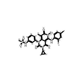 CCn1c(Nc2ccc(C)cc2F)c2c(=O)n(C3CC3)c(=O)n(-c3cccc(NS(C)(=O)=O)c3)c2c(C)c1=O